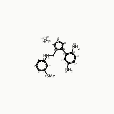 CSc1cccc(NCc2cscc2-c2cc(N)ccc2N)c1.Cl.Cl